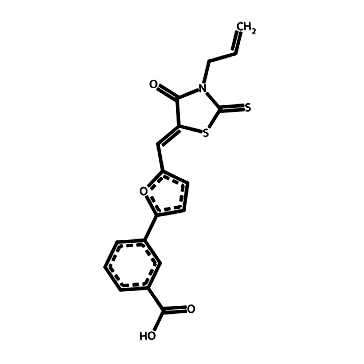 C=CCN1C(=O)/C(=C/c2ccc(-c3cccc(C(=O)O)c3)o2)SC1=S